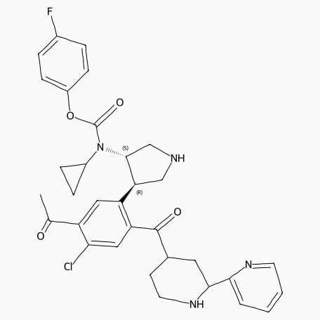 CC(=O)c1cc([C@@H]2CNC[C@H]2N(C(=O)Oc2ccc(F)cc2)C2CC2)c(C(=O)C2CCNC(c3ccccn3)C2)cc1Cl